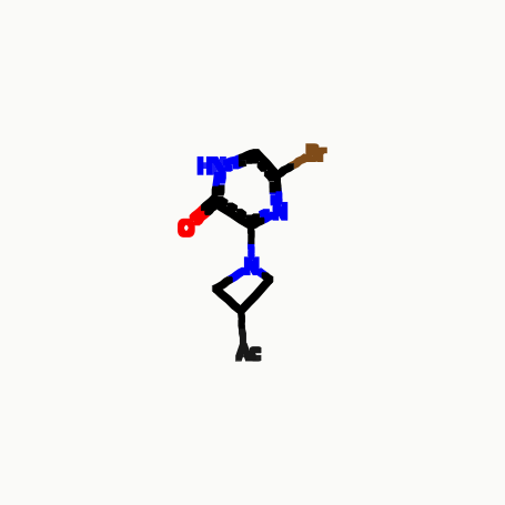 CC(=O)C1CN(c2nc(Br)c[nH]c2=O)C1